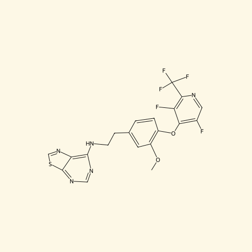 COc1cc(CCNc2ncnc3scnc23)ccc1Oc1c(F)cnc(C(F)(F)F)c1F